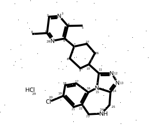 Cc1cnc(C)c(C2CCC(c3nnc4n3-c3ccc(Cl)cc3CNC4)CC2)n1.Cl